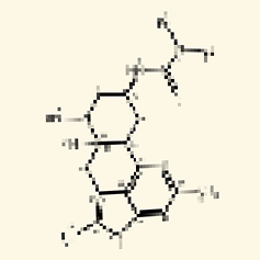 CCCN1C[C@@H](NC(=S)N(CC)CC)CC2c3cc(C)cc4[nH]c(C)c(c34)C[C@H]21